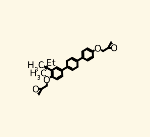 CCC(C)(C)c1cc(C2=CCC(c3ccc(OCC4CO4)cc3)=CC2)ccc1OCC1CO1